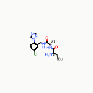 CC[C@H](NC(=O)[C@H](N)CC(C)(C)C)C(=O)NCc1cc(Cl)ccc1-n1cncn1